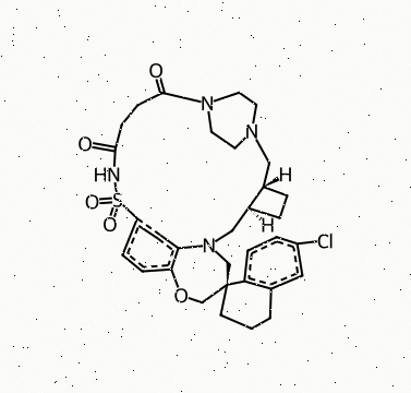 O=C1CCC(=O)N2CCN(CC2)C[C@@H]2CC[C@H]2CN2C[C@@]3(CCCc4cc(Cl)ccc43)COc3ccc(cc32)S(=O)(=O)N1